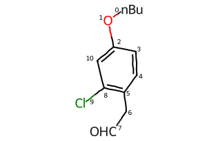 CCCCOc1ccc(CC=O)c(Cl)c1